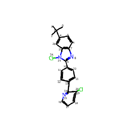 CC(C)(C)c1ccc2nc(-c3ccc(-c4ncccc4Cl)cc3)n(Cl)c2c1